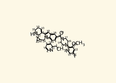 CCc1ncccc1-c1cc(C(=O)N2CCN(c3ncc(F)cc3OC)CC2)cc2cc(C3=CCCNC3)n(CC3CC3)c12